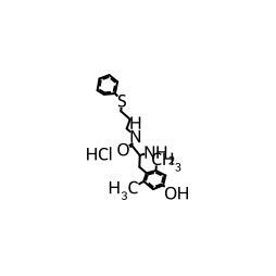 Cc1cc(O)cc(C)c1CC(N)C(=O)NCCCSc1ccccc1.Cl